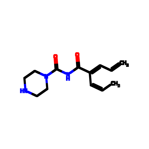 C=C/C=C(\C=C/C)C(=O)NC(=O)N1CCNCC1